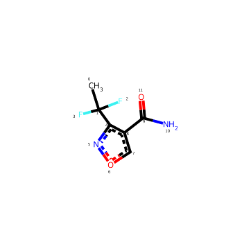 CC(F)(F)c1nocc1C(N)=O